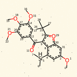 COc1cc([SiH](C)C)c2c(C(=O)c3cc(OC)c(OC)c(OC)c3)c(C(C)(C)C)oc2c1